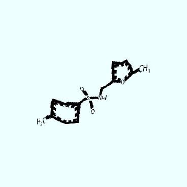 Cc1ccc(S(=O)(=O)NCc2ccc(C)o2)cc1